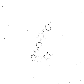 COc1cccc(C(=O)Nc2ccc(N3CCN(Cc4cccc(C#N)c4)CC3)cc2)c1OCc1ccc(F)cc1